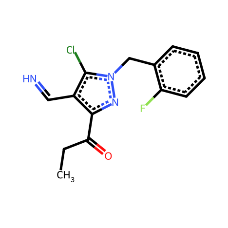 CCC(=O)c1nn(Cc2ccccc2F)c(Cl)c1C=N